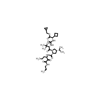 C=CCNC(=O)C(=O)C(CCC)NC(=O)[C@@H]1C[C@@H](C(C)C)CN1C(=O)[C@@H](NC(=O)N[C@H](C(=O)OCC1CC1)C1CCC1)C(C)(C)C